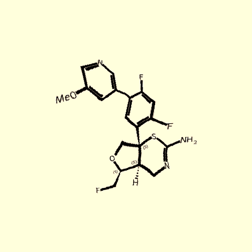 COc1cncc(-c2cc([C@]34CO[C@H](CF)[C@@H]3CN=C(N)S4)c(F)cc2F)c1